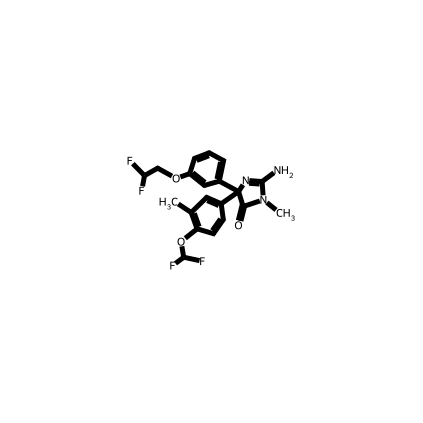 Cc1cc(C2(c3cccc(OCC(F)F)c3)N=C(N)N(C)C2=O)ccc1OC(F)F